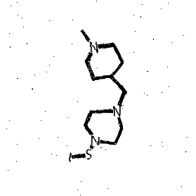 CN1CCC(CN2CCN(SI)CC2)CC1